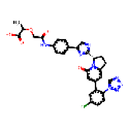 CC(OCC(=O)Nc1ccc(-c2cnc([C@@H]3CCc4cc(-c5cc(Cl)ccc5-n5cnnn5)cc(=O)n43)[nH]2)cc1)C(=O)O